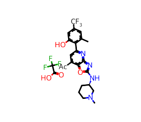 CC(=O)c1cc(-c2c(C)cc(C(F)(F)F)cc2O)nc2nc(N[C@@H]3CCCN(C)C3)oc12.O=C(O)C(F)(F)F